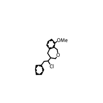 COc1cccc2c1COCC(C(Cl)Cc1ccccc1)C2